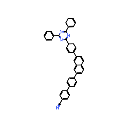 N#Cc1ccc(-c2ccc(-c3ccc4ccc(C5=CCC(c6nc(C7=CC=CCC7)nc(-c7ccccc7)n6)C=C5)cc4c3)cc2)cc1